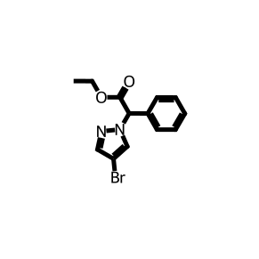 CCOC(=O)C(c1ccccc1)n1cc(Br)cn1